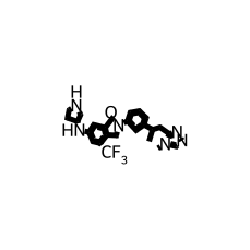 CC(Cc1nncn1C)c1cccc(N2Cc3c(cc(NC4CCNC4)cc3C(F)(F)F)C2=O)c1